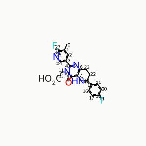 Cc1cc(-c2nc3c(c(=O)n2CC(=O)O)N[C@H](c2ccc(F)cc2)CC3)cnc1F